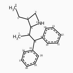 CCC1CNC1C(C)C(c1ccccc1)c1ccccc1